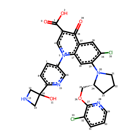 O=C(O)c1cn(-c2ccc(C3(O)CNC3)nc2)c2cc(N3CCC[C@@H]3COc3ncccc3Cl)c(Cl)cc2c1=O